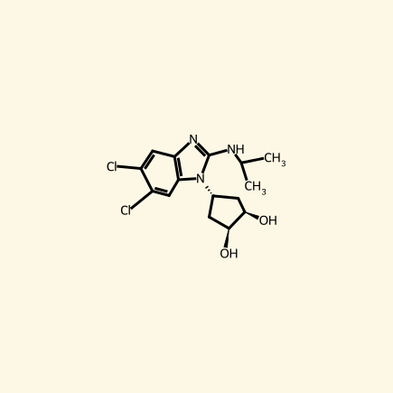 CC(C)Nc1nc2cc(Cl)c(Cl)cc2n1[C@@H]1C[C@@H](O)[C@@H](O)C1